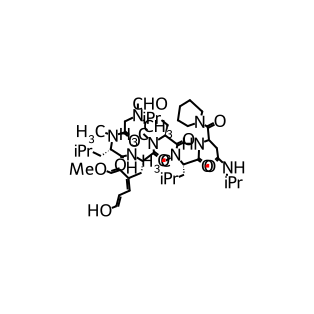 CO/C=C/C(=C\C=C\O)C[C@H](NC(=O)[C@H](CC(C)C)N(C)C(=O)CN(C)C=O)C(=O)N(C)[C@@H](CC(C)C)C(=O)N(C)[C@@H](CC(C)C)C(=O)NC(CC(=O)NC(C)C)C(=O)N1CCCCC1